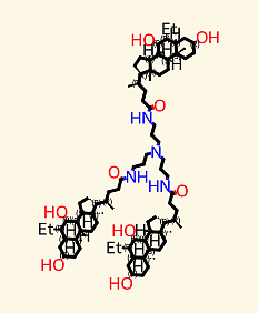 CC[C@H]1[C@@H](O)[C@@H]2[C@H](CC[C@]3(C)[C@@H]([C@H](C)CCC(=O)NCCCN(CCCNC(=O)CC[C@@H](C)[C@H]4CC[C@H]5[C@@H]6[C@H](O)[C@H](CC)[C@@H]7C[C@H](O)CC[C@]7(C)[C@H]6CC[C@]45C)CCCNC(=O)CC[C@@H](C)[C@H]4CC[C@H]5[C@@H]6[C@H](O)[C@H](CC)[C@@H]7C[C@H](O)CC[C@]7(C)[C@H]6CC[C@]45C)CC[C@@H]23)[C@@]2(C)CC[C@@H](O)C[C@@H]12